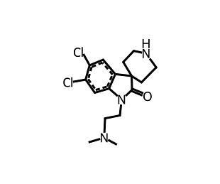 CN(C)CCN1C(=O)C2(CCNCC2)c2cc(Cl)c(Cl)cc21